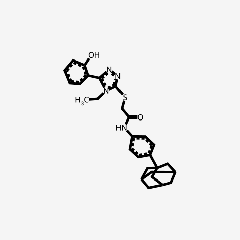 CCn1c(SCC(=O)Nc2ccc(C34CC5CC(CC(C5)C3)C4)cc2)nnc1-c1ccccc1O